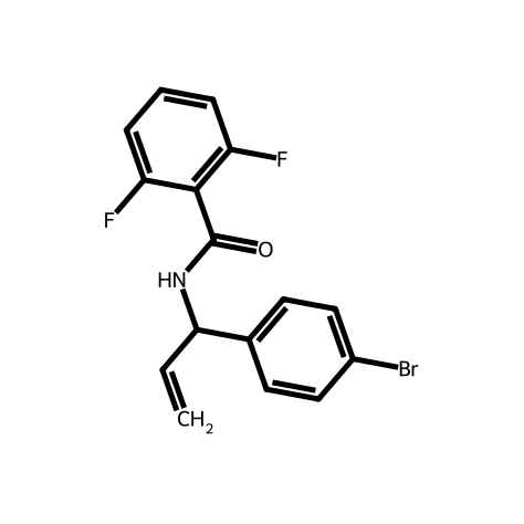 C=CC(NC(=O)c1c(F)cccc1F)c1ccc(Br)cc1